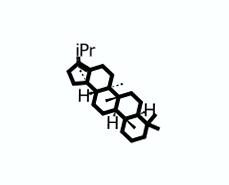 CC(C)C1=C2CC[C@]3(C)[C@H](CC[C@@H]4[C@@]5(C)CCCC(C)(C)[C@@H]5CC[C@]43C)[C@@]2(C)CC1